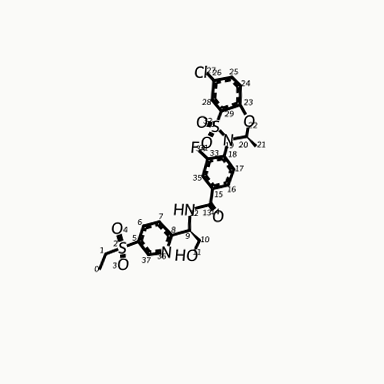 CCS(=O)(=O)c1ccc([C@H](CO)NC(=O)c2ccc(N3[C@H](C)Oc4ccc(Cl)cc4S3(=O)=O)c(F)c2)nc1